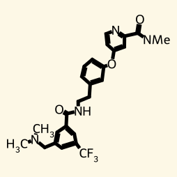 CNC(=O)c1cc(Oc2cccc(CCNC(=O)c3cc(CN(C)C)cc(C(F)(F)F)c3)c2)ccn1